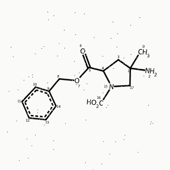 CC1(N)CC(C(=O)OCc2ccccc2)N(C(=O)O)C1